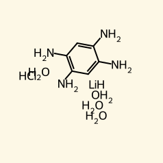 Cl.Nc1cc(N)c(N)cc1N.O.O.O.O.[LiH]